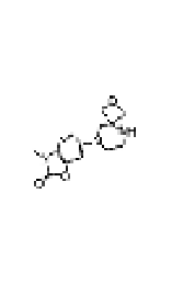 Cn1c(=O)oc2cc(N3CCNC4(COC4)C3)ccc21